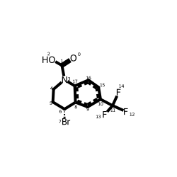 O=C(O)N1CC[C@@H](Br)c2cc(C(F)(F)F)ccc21